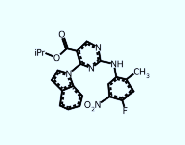 Cc1cc(F)c([N+](=O)[O-])cc1Nc1ncc(C(=O)OC(C)C)c(-n2ccc3ccccc32)n1